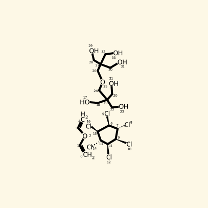 C=COC=C.Cl[C@H]1[C@H](Cl)[C@@H](Cl)[C@@H](Cl)[C@H](Cl)[C@H]1Cl.OCC(CO)(CO)COCC(CO)(CO)CO